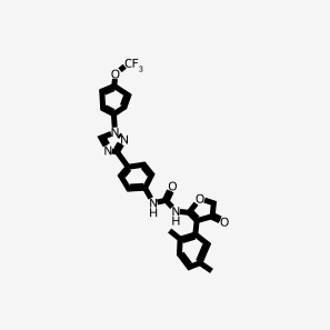 Cc1ccc(C)c(C2=C(NC(=O)Nc3ccc(-c4ncn(-c5ccc(OC(F)(F)F)cc5)n4)cc3)OCC2=O)c1